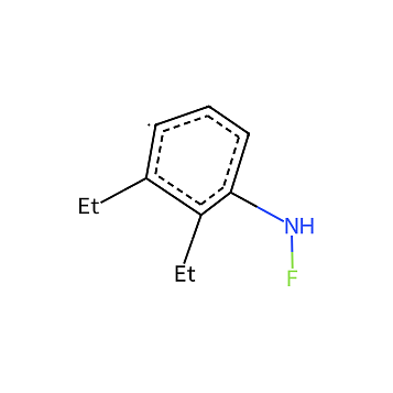 CCc1[c]ccc(NF)c1CC